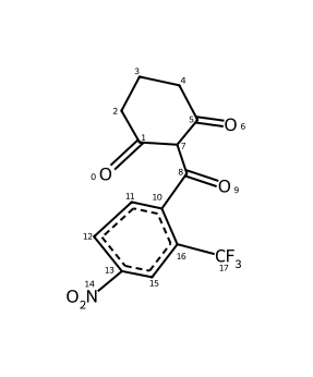 O=C1CCCC(=O)C1C(=O)c1ccc([N+](=O)[O-])cc1C(F)(F)F